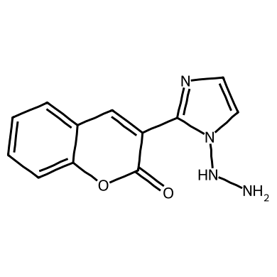 NNn1ccnc1-c1cc2ccccc2oc1=O